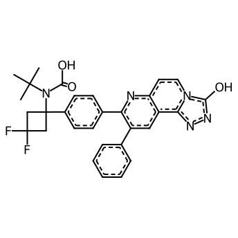 CC(C)(C)N(C(=O)O)C1(c2ccc(-c3nc4ccn5c(O)nnc5c4cc3-c3ccccc3)cc2)CC(F)(F)C1